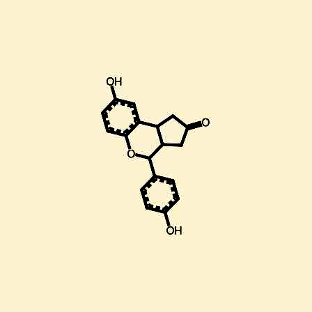 O=C1CC2c3cc(O)ccc3OC(c3ccc(O)cc3)C2C1